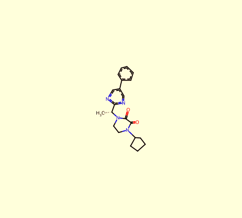 C[C@H](c1ncc(-c2ccccc2)cn1)N1CCN(C2CCCC2)C(=O)C1=O